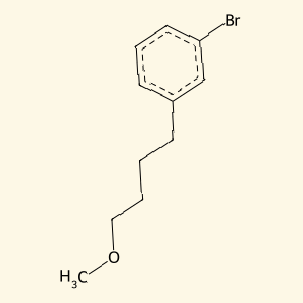 COCCCCc1cccc(Br)c1